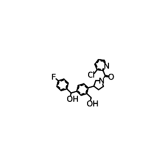 O=C(c1ncccc1Cl)N1CCC(c2ccc(C(O)c3ccc(F)cc3)cc2CO)C1